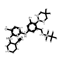 CC1(C)COB(c2c(F)cc(Nc3ncc(Cl)c(NC4COCCC4C#N)n3)cc2CO[Si](C)(C)C(C)(C)C)OC1